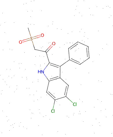 CS(=O)(=O)CC(=O)c1[nH]c2cc(Cl)c(Cl)cc2c1-c1ccccc1